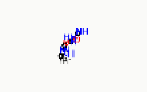 CC(C)c1cccc(Nc2nc3cc(Oc4ccnc(NC(=O)C5CCNCC5)c4)ccc3n2C)c1